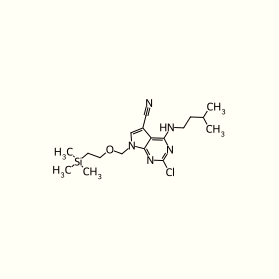 CC(C)CCNc1nc(Cl)nc2c1c(C#N)cn2COCC[Si](C)(C)C